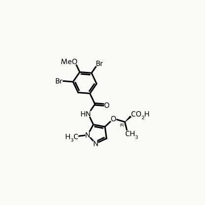 COc1c(Br)cc(C(=O)Nc2c(O[C@H](C)C(=O)O)cnn2C)cc1Br